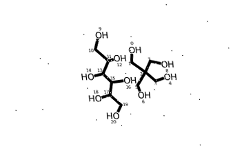 OCC(CO)(CO)CO.OCC(O)C(O)C(O)C(O)CO